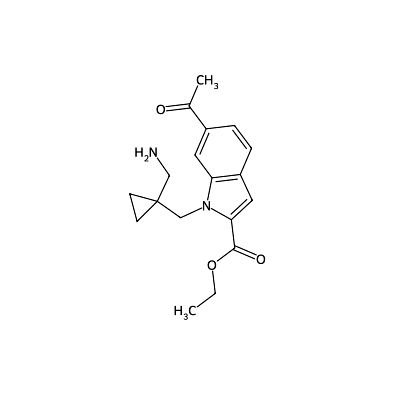 CCOC(=O)c1cc2ccc(C(C)=O)cc2n1CC1(CN)CC1